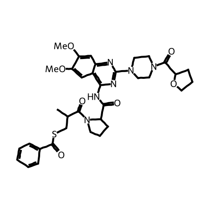 COc1cc2nc(N3CCN(C(=O)C4CCCO4)CC3)nc(NC(=O)C3CCCN3C(=O)C(C)CSC(=O)c3ccccc3)c2cc1OC